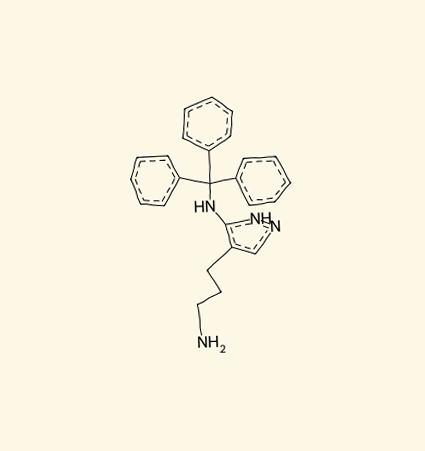 NCCCc1cn[nH]c1NC(c1ccccc1)(c1ccccc1)c1ccccc1